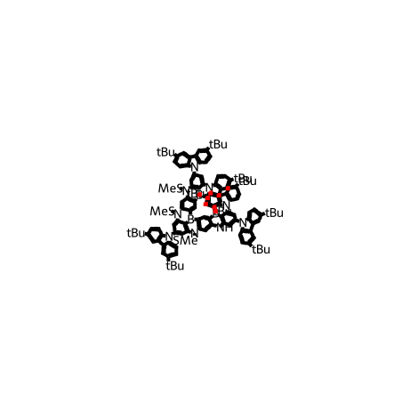 CSN1c2cc3c(cc2B2c4cc5c(cc4N(SC)c4cc(-n6c7ccc(C(C)(C)C)cc7c7cc(C(C)(C)C)ccc76)cc1c42)N(SC)c1cc(-n2c4ccc(C(C)(C)C)cc4c4cc(C(C)(C)C)ccc42)cc2c1B5c1cc(C(C)(C)C)cc4c5cc(C(C)(C)C)ccc5n-2c14)B1c2c(cc(-n4c5ccc(C(C)(C)C)cc5c5cc(C(C)(C)C)ccc54)cc2-n2c4ccc(C(C)(C)C)cc4c4cc(C(C)(C)C)cc1c42)N3